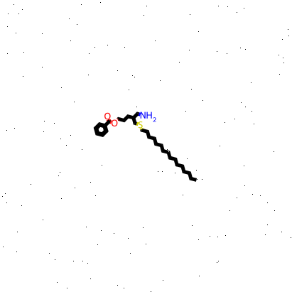 CCCCCCCCCCCCCCCCSCC(CN)CCCOC(=O)c1ccccc1